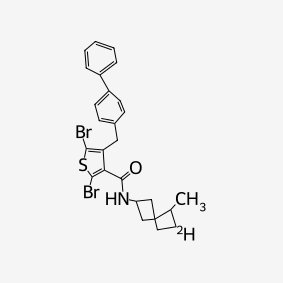 [2H]C1CC2(CC(NC(=O)c3c(Br)sc(Br)c3Cc3ccc(-c4ccccc4)cc3)C2)C1C